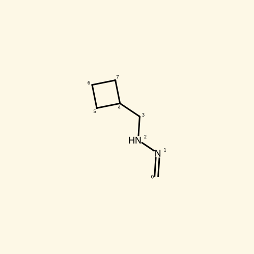 C=NNCC1CCC1